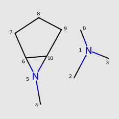 CN(C)C.CN1C2CCCC21